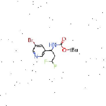 CC(C)(C)OC(=O)NC(CC(F)F)c1cncc(Br)c1